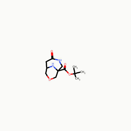 CC(C)(C)OC(=O)C12CNC(=O)CC(COC1)N2